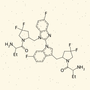 CCC(N)C(=O)N1CC(F)(F)CC1Cc1cn(-c2nc3cc(F)ccc3n2CC2CC(F)(F)CN2C(=O)C(N)CC)c2cc(F)ccc12